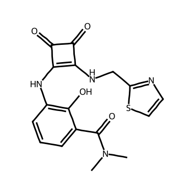 CN(C)C(=O)c1cccc(Nc2c(NCc3nccs3)c(=O)c2=O)c1O